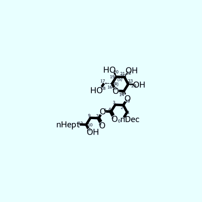 CCCCCCCCCCCC(CC(=O)OC(=O)CC(O)CCCCCCC)O[C@@H]1O[C@H](CO)[C@@H](O)[C@H](O)[C@H]1O